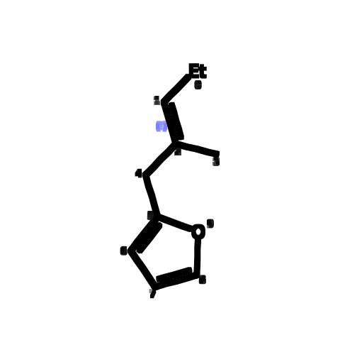 CC/C=C(\C)Cc1ccco1